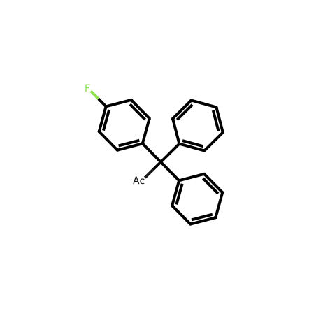 CC(=O)C(c1ccccc1)(c1ccccc1)c1ccc(F)cc1